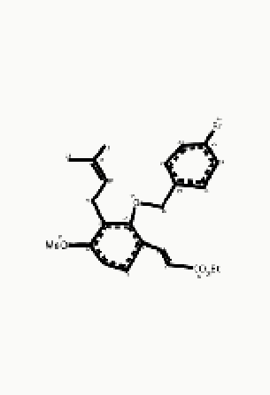 CCOC(=O)/C=C/c1ccc(OC)c(CC=C(C)C)c1OCc1ccc(Br)cc1